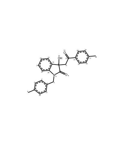 Cc1ccc(CN2C(=O)C(O)(CC(=O)c3ccc(C)cc3)c3ccccc32)cc1